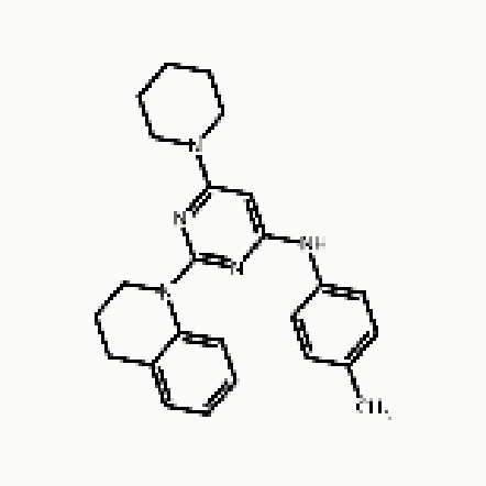 Cc1ccc(Nc2cc(N3CCCCC3)nc(N3CCCc4ccccc43)n2)cc1